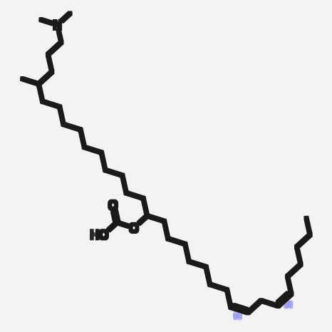 CCCCC/C=C\C/C=C\CCCCCCCC(CCCCCCCCCCC(C)CCCN(C)C)OC(=O)O